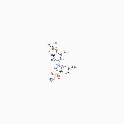 COc1nc(-n2cc(S(N)(=O)=O)c3ccc(Cl)cc32)ncc1OC(C)(F)F